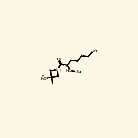 CC(C)CCCCC(NC(C)(C)C)C(=O)N1CC(C)(O)C1